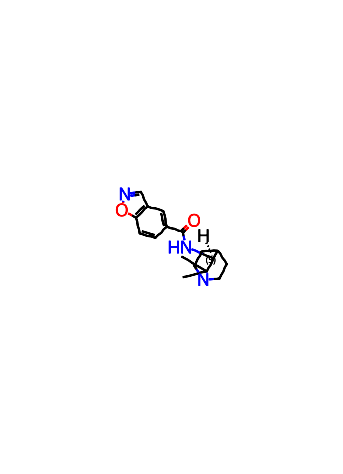 CC1(C)[C@@H](NC(=O)c2ccc3oncc3c2)C2CCN1CC2